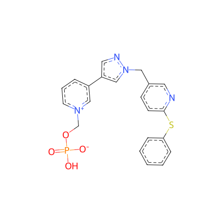 O=P([O-])(O)OC[n+]1cccc(-c2cnn(Cc3ccc(Sc4ccccc4)nc3)c2)c1